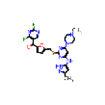 Cc1cc(Nc2cc(N3CCN(C)CC3)nc(SCc3ccc(C(=O)c4cnc(F)nc4F)o3)n2)[nH]n1